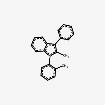 Cc1ccccc1-n1c(C)c(-c2ccccc2)c2ccccc21